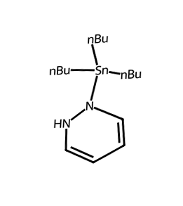 CCC[CH2][Sn]([CH2]CCC)([CH2]CCC)[N]1C=CC=CN1